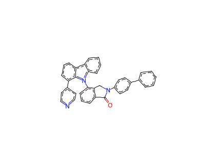 O=C1c2cccc(-n3c4ccccc4c4cccc(-c5ccncc5)c43)c2CN1c1ccc(-c2ccccc2)cc1